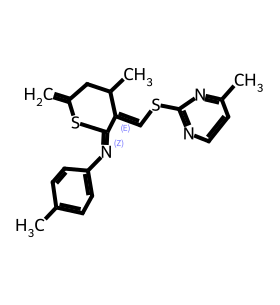 C=C1CC(C)C(=C\Sc2nccc(C)n2)/C(=N/c2ccc(C)cc2)S1